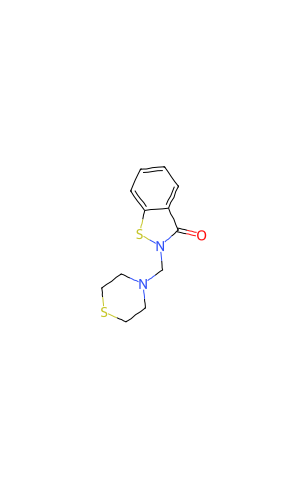 O=c1c2ccccc2sn1CN1CCSCC1